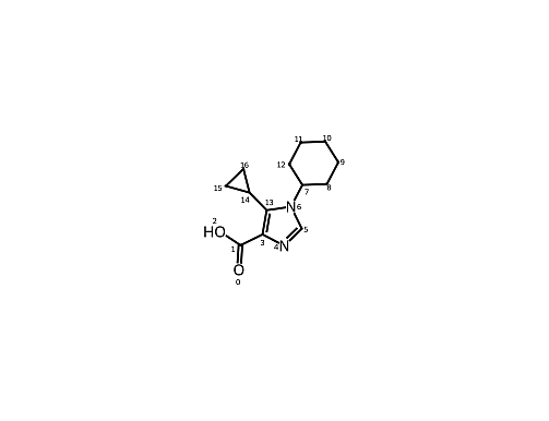 O=C(O)c1ncn(C2CCCCC2)c1C1CC1